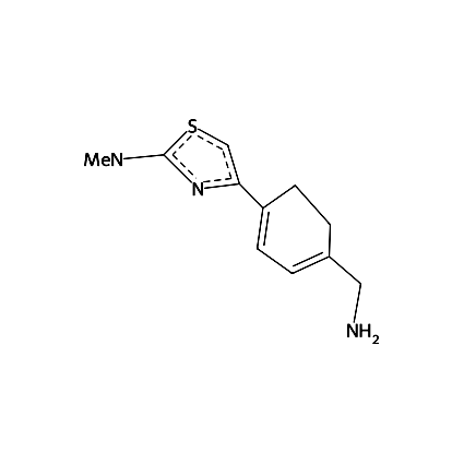 CNc1nc(C2=CC=C(CN)CC2)cs1